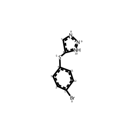 Brc1ccc(Sc2cnn[nH]2)cc1